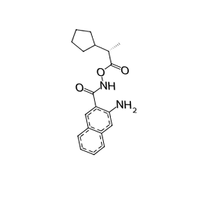 C[C@H](C(=O)ONC(=O)c1cc2ccccc2cc1N)C1CCCC1